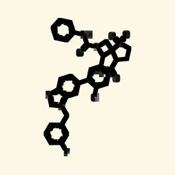 NC(=O)C1CCS(=O)(=O)C12CN(C(=O)Nc1ccccc1)C2c1cc(-c2ccc3ncn(Cc4cccc(F)c4)c3c2)c(Cl)cn1